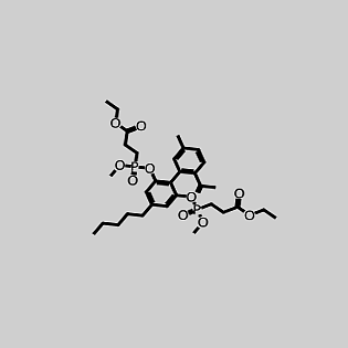 C=C(C)c1ccc(C)cc1-c1c(OP(=O)(CCC(=O)OCC)OC)cc(CCCCC)cc1OP(=O)(CCC(=O)OCC)OC